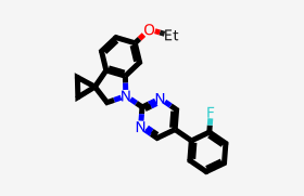 CCOc1ccc2c(c1)N(c1ncc(-c3ccccc3F)cn1)CC21CC1